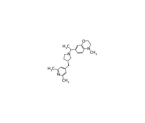 Cc1cc(C[C@H]2CCN(C(C)c3ccc4c(c3)OCCN4C)C2)cc(C)n1